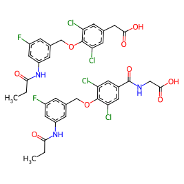 CCC(=O)Nc1cc(F)cc(COc2c(Cl)cc(C(=O)NCC(=O)O)cc2Cl)c1.CCC(=O)Nc1cc(F)cc(COc2c(Cl)cc(CC(=O)O)cc2Cl)c1